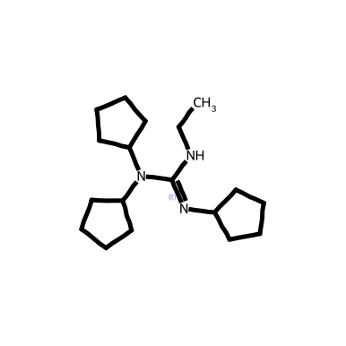 CCN/C(=N\C1CCCC1)N(C1CCCC1)C1CCCC1